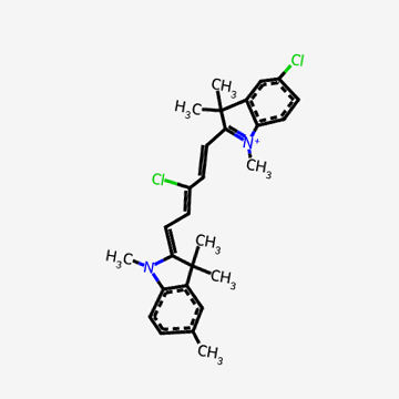 Cc1ccc2c(c1)C(C)(C)\C(=C/C=C(Cl)/C=C/C1=[N+](C)c3ccc(Cl)cc3C1(C)C)N2C